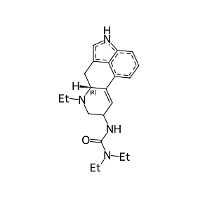 CCN(CC)C(=O)NC1C=C2c3cccc4[nH]cc(c34)C[C@H]2N(CC)C1